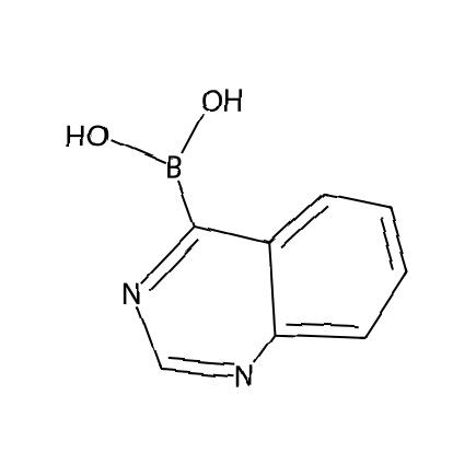 OB(O)c1ncnc2ccccc12